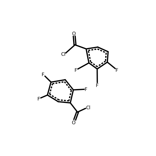 O=C(Cl)c1cc(F)c(F)cc1F.O=C(Cl)c1ccc(F)c(F)c1F